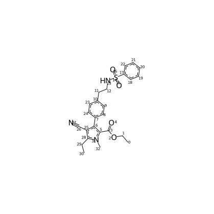 CCOC(=O)c1c(-c2ccc(CCNS(=O)(=O)c3ccccc3)cc2)c(C#N)c(CC)n1C